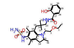 CCOCCN1c2c(c(C)c(NS(N)(=O)=O)c(C)c2CC(C)(C)CNC(=O)c2ccccc2O)CC1C